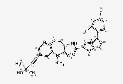 CN1C(=O)[C@@H](NC(=O)c2cn3c(-c4ccc(F)cc4F)csc3n2)COc2ncc(C#CC(C)(C)O)cc21